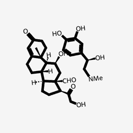 CNC[C@H](O)c1ccc(O)c(O)c1.C[C@]12CCC(=O)C=C1CC[C@@H]1[C@@H]2[C@@H](O)C[C@]2(C=O)[C@@H](C(=O)CO)CC[C@@H]12